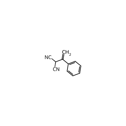 C=C(c1ccccc1)C(C#N)C#N